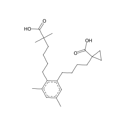 Cc1cc(C)c(CCCCC(C)(C)C(=O)O)c(CCCCC2(C(=O)O)CC2)c1